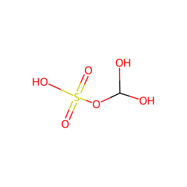 O=S(=O)(O)OC(O)O